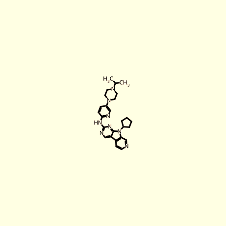 CC(C)N1CCN(c2ccc(Nc3ncc4c5ccncc5n(C5CCCC5)c4n3)nc2)CC1